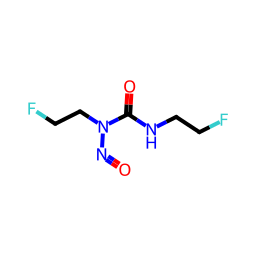 O=NN(CCF)C(=O)NCCF